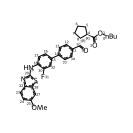 CCCCOC(=O)[C@@H]1CCC[C@H]1C(=O)c1ccc(-c2ccc(Nc3nc4ccc(OC)cc4s3)c(F)c2)cc1